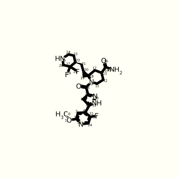 COc1cc(-c2cc(C(=O)N3CCC(C(N)=O)CC34CC4C[C@@H]3CCNCC3(F)F)n[nH]2)c(F)cn1